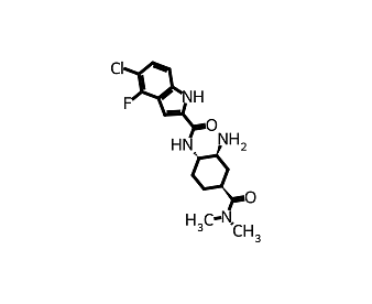 CN(C)C(=O)[C@H]1CC[C@H](NC(=O)c2cc3c(F)c(Cl)ccc3[nH]2)[C@@H](N)C1